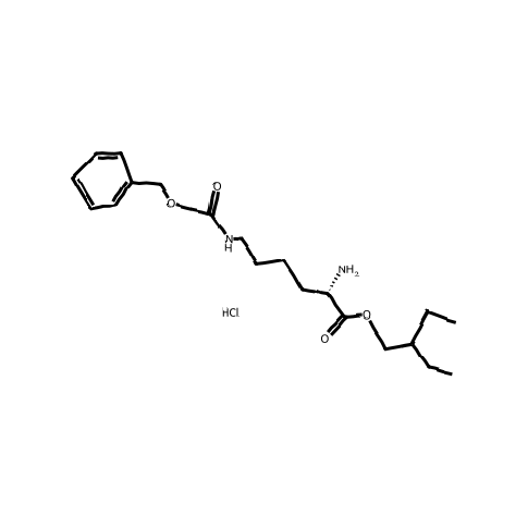 CCC(CC)COC(=O)[C@@H](N)CCCCNC(=O)OCc1ccccc1.Cl